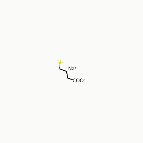 O=C([O-])CCCS.[Na+]